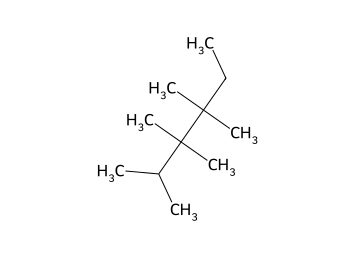 CCC(C)(C)C(C)(C)C(C)C